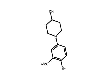 COc1cc(N2CCC(O)CC2)ccc1C(C)C